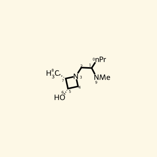 CCCC(CN1C[C@H](O)[C@@H]1C)NC